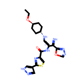 CCO[C@H]1CC[C@H](N/C=C(/NC(=O)c2csc(-c3cn[nH]c3)n2)C(=N)c2nnco2)CC1